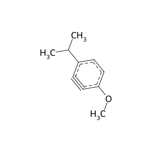 COc1c#cc(C(C)C)cc1